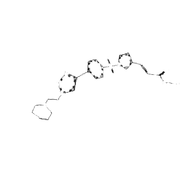 O=C(C=Cc1ccn(S(=O)(=O)c2ccc(-c3cn(CCN4CCCCC4)nn3)cc2)c1)NO